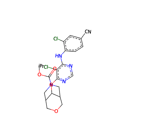 CC(C)OC(=O)N1CC2COCC(C1)C2Oc1ncnc(Nc2ccc(C#N)cc2Cl)c1Cl